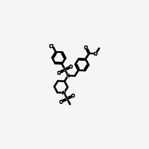 COC(=O)c1ccc(CN(C2CCCN(S(C)(=O)=O)C2)S(=O)(=O)c2ccc(Cl)cc2)cc1